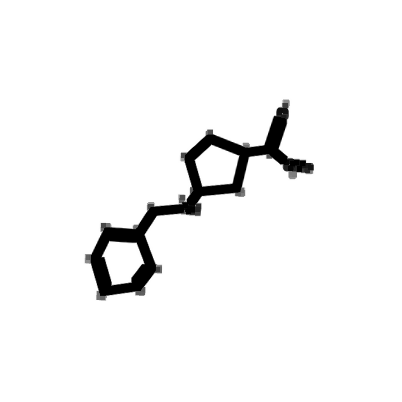 COC(=O)C1CCC(NCc2ccccc2)C1